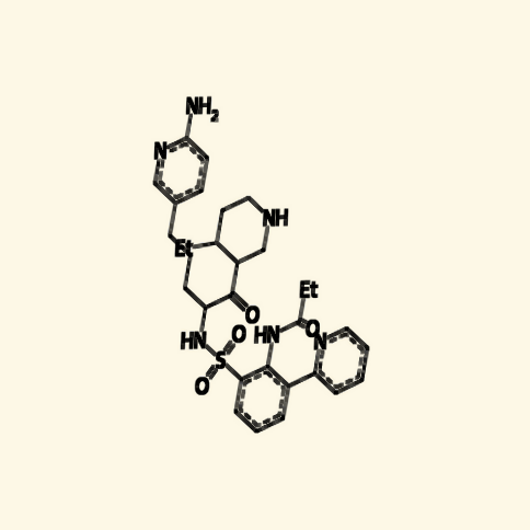 CCC(=O)Nc1c(-c2ccccn2)cccc1S(=O)(=O)NC(CCCc1ccc(N)nc1)C(=O)C1CNCCC1CC